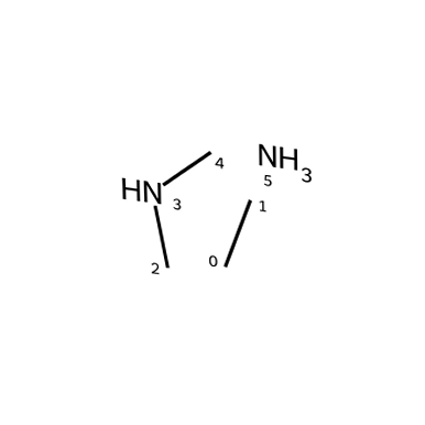 CC.CNC.N